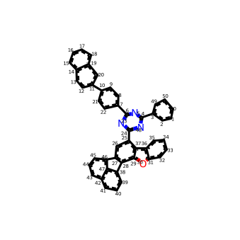 c1ccc(-c2nc(-c3ccc(-c4ccc5ccccc5c4)cc3)nc(-c3cc4c(c5oc6ccccc6c35)-c3cccc5cccc-4c35)n2)cc1